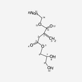 C=C(CC(=O)OCC(O)CO)C(=O)OCCCCCCCCCC